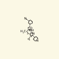 CC(Sc1nnc(-c2ccncc2)n1C1CC1)N1C=C(c2cccc(C#N)c2)ON1